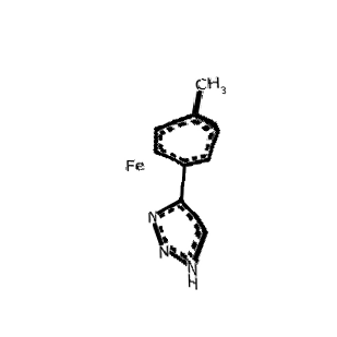 Cc1ccc(-c2c[nH]nn2)cc1.[Fe]